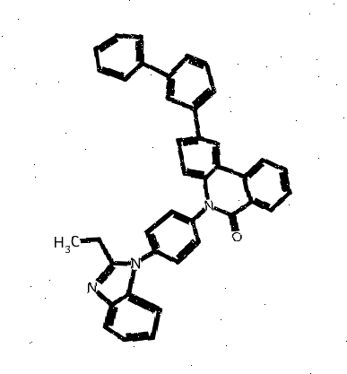 CCc1nc2ccccc2n1-c1ccc(-n2c(=O)c3ccccc3c3cc(-c4cccc(-c5ccccc5)c4)ccc32)cc1